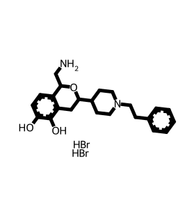 Br.Br.NCC1OC(C2CCN(CCc3ccccc3)CC2)Cc2c1ccc(O)c2O